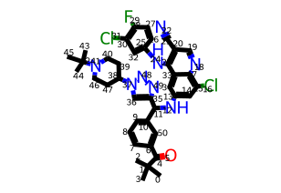 CC(C)(C)C(=O)c1cccc(C(Nc2cc(Cl)c3ncc(C#N)c(Nc4ccc(F)c(Cl)c4)c3c2)c2cn(C3CCN(C(C)(C)C)CC3)nn2)c1